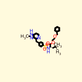 Cc1nc2c(Cc3ccc(S(=O)(=O)N[C@@H](CC(C)C)C(=O)OCCOCc4ccccc4)cc3)nccc2[nH]1